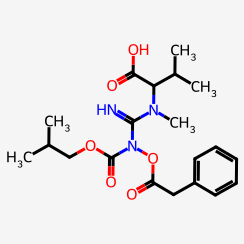 CC(C)COC(=O)N(OC(=O)Cc1ccccc1)C(=N)N(C)C(C(=O)O)C(C)C